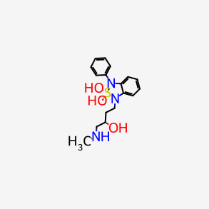 CNC[C@H](O)CCN1c2ccccc2N(c2ccccc2)S1(O)O